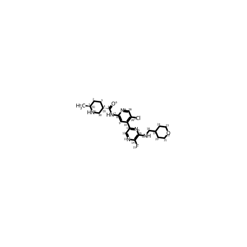 C[C@H]1CC[C@H](C(=O)Nc2cc(-c3cnc(F)c(NCC4CCOCC4)n3)c(Cl)cn2)CN1